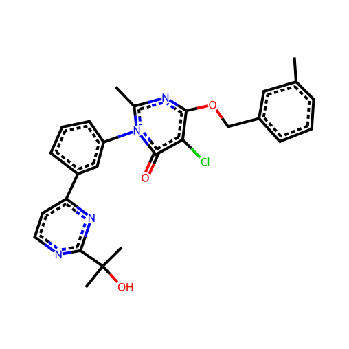 Cc1cccc(COc2nc(C)n(-c3cccc(-c4ccnc(C(C)(C)O)n4)c3)c(=O)c2Cl)c1